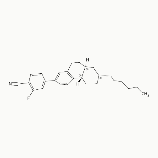 CCCCCC[C@@H]1CC[C@@H]2c3ccc(-c4ccc(C#N)c(F)c4)cc3CC[C@H]2C1